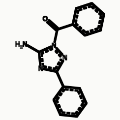 Nc1nc(-c2ccccc2)nn1C(=O)c1ccccc1